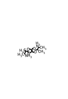 CC(N)C(C)C1OCC2(CO1)COC(C(C)C(C)N)OC2